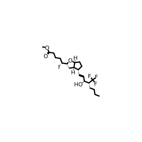 CCCC[C@H]([C@H](O)/C=C/[C@H]1CC[C@@H]2O[C@@H]([C@H](I)CCCC(=O)OC)C[C@@H]21)C(F)(F)F